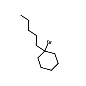 CCCCCC1(Br)CCCCC1